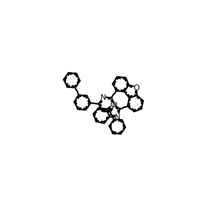 c1ccc(-c2cccc(-c3cc(-c4ccccc4)nc(-c4cccc5oc6cccc(-c7nc8ccccc8o7)c6c45)n3)c2)cc1